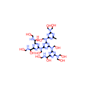 Cc1nc(N(CO)CO)nc(N(CO)c2nc(N(CO)c3nc(C(O)NCO)nc(C(O)NCO)n3)nc(N(CO)c3nc(C(O)NCO)nc(N(CO)CO)n3)n2)n1